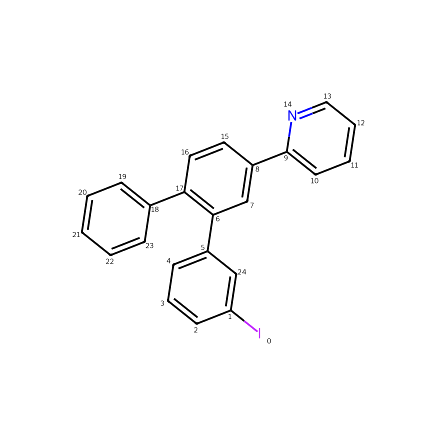 Ic1cccc(-c2cc(-c3ccccn3)ccc2-c2ccccc2)c1